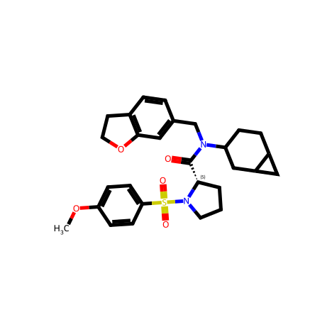 COc1ccc(S(=O)(=O)N2CCC[C@H]2C(=O)N(Cc2ccc3c(c2)OCC3)C2CCC3CC3C2)cc1